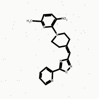 Cc1ccc([N+](=O)[O-])c(N2CCC(=Cc3noc(-c4ccccn4)n3)CC2)n1